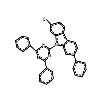 Clc1ccc2c3ccc(-c4ccccc4)cc3n(-c3nc(-c4ccccc4)nc(-c4ccccc4)n3)c2c1